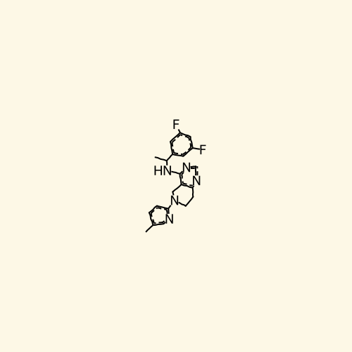 Cc1ccc(N2CCc3ncnc(NC(C)c4cc(F)cc(F)c4)c3C2)nc1